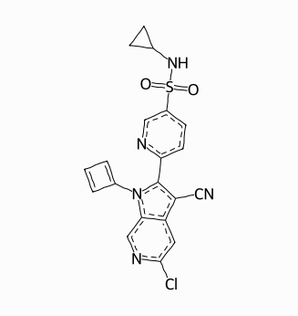 N#Cc1c(-c2ccc(S(=O)(=O)NC3CC3)cn2)n(C2=CC=C2)c2cnc(Cl)cc12